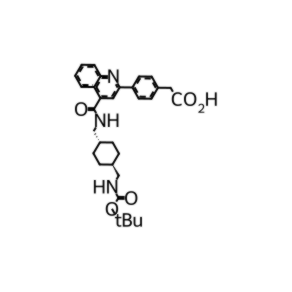 CC(C)(C)OC(=O)NC[C@H]1CC[C@H](CNC(=O)c2cc(-c3ccc(CC(=O)O)cc3)nc3ccccc23)CC1